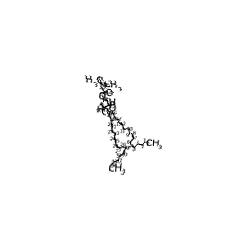 CCCC/C=C\C/C=C\CCCCCCCCC1(CCCCCCCC/C=C\C/C=C\CCCC)O[C@H]2C[C@H](OC(=O)CN(C)C)C[C@H]2O1